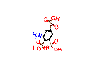 Nc1cc(S(=O)(=O)O)cc(S(=O)(=O)O)c1S(=O)(=O)O